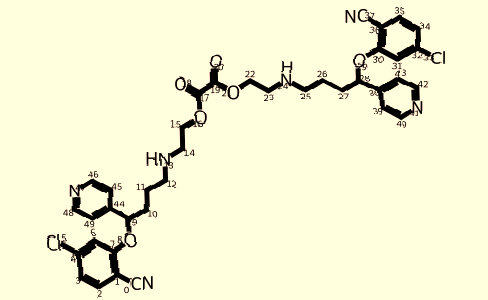 N#Cc1ccc(Cl)cc1OC(CCCNCCOC(=O)C(=O)OCCNCCCC(Oc1cc(Cl)ccc1C#N)c1ccncc1)c1ccncc1